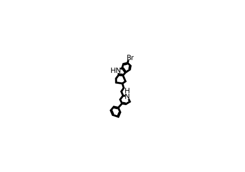 Brc1ccc2c3c([nH]c2c1)CCC(CCC1CC(c2ccccc2)=CCN1)C3